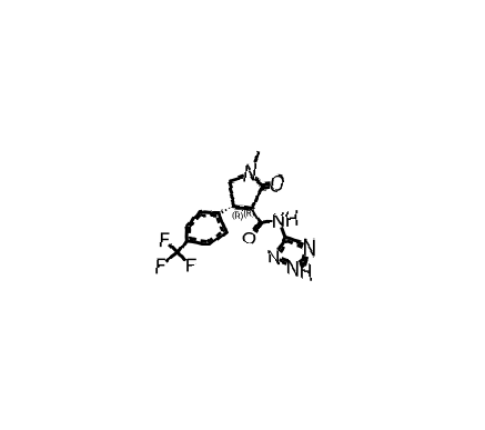 CN1C[C@@H](c2ccc(C(F)(F)F)cc2)[C@H](C(=O)Nc2nc[nH]n2)C1=O